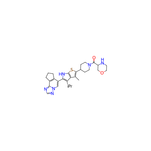 Cc1c(C2CCN(C(=O)C3COCCN3)CC2)sc2[nH]c(-c3cn4ncnc4c4c3CCC4)c(C(C)C)c12